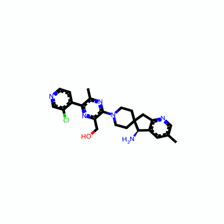 Cc1cnc2c(c1)[C@@H](N)C1(CCN(c3nc(C)c(-c4ccncc4Cl)nc3CO)CC1)C2